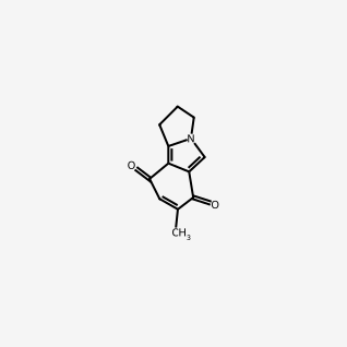 CC1=CC(=O)c2c(cn3c2CCC3)C1=O